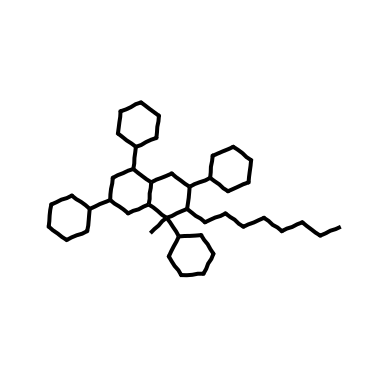 CCCCCCCCC1C(C2CCCCC2)CC2C(C3CCCCC3)CC(C3CCCCC3)CC2C1(C)C1CCCCC1